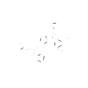 COc1ccc(CN(c2ncns2)S(=O)(=O)c2cc(F)c(OC[C@@H]3CN(C(=O)OC(C)(C)C)CC[C@H]3c3ccc(F)cc3)cc2F)c(OC)c1